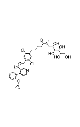 CN(CC(O)C(O)C(O)C(O)CO)C(=O)CCCCc1cc(Cl)c(COC2(c3cnccc3-c3ccccc3OC3CC3)CC2)cc1Cl